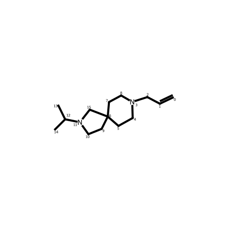 C=CCN1CCC2(CC1)CCN(C(C)C)C2